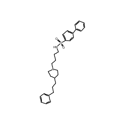 O=S(=O)(NCCCCN1CCC(CCCc2ccccc2)CC1)c1ccc(-c2ccccc2)cc1